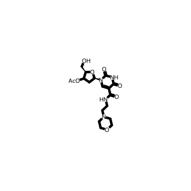 CC(=O)OC1C[C@H](n2cc(C(=O)NCCN3CCOCC3)c(=O)[nH]c2=O)O[C@@H]1CO